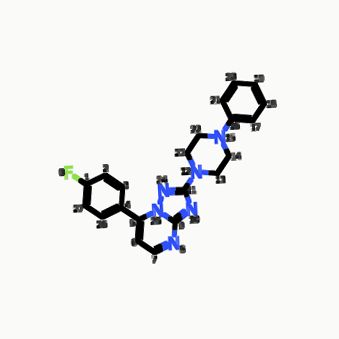 Fc1ccc(-c2ccnc3nc(N4CCN(c5ccccc5)CC4)nn23)cc1